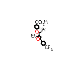 CCc1oc(-c2ccc(C(F)(F)F)cc2)cc1C(CC(C)C)Oc1ccc(C(=O)O)cc1